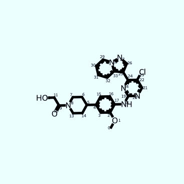 COc1cc(C2CCN(C(=O)CO)CC2)ccc1Nc1ncc(Cl)c(-c2cnn3ccccc23)n1